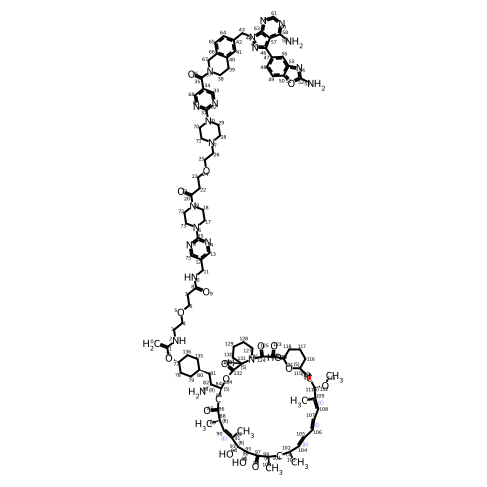 C=C(NCCOCCC(=O)NCc1cnc(N2CCN(C(=O)CCOCCN3CCN(c4ncc(C(=O)N5CCc6cc(Cn7nc(-c8ccc9oc(N)nc9c8)c8c(N)ncnc87)ccc6C5)cn4)CC3)CC2)nc1)O[C@H]1CC[C@H](C[C@@H](N)[C@@H]2CC(=O)[C@H](C)/C=C(\C)[C@@H](O)[C@@H](O)C(=O)[C@H](C)C[C@H](C)/C=C/C=C/C=C(\C)[C@@H](OC)C[C@@H]3CCC[C@@](O)(O3)C(=O)C(=O)N3CCCC[C@H]3C(=O)O2)CC1